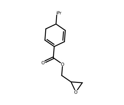 CC(C)C1C=CC(C(=O)OCC2CO2)=CC1